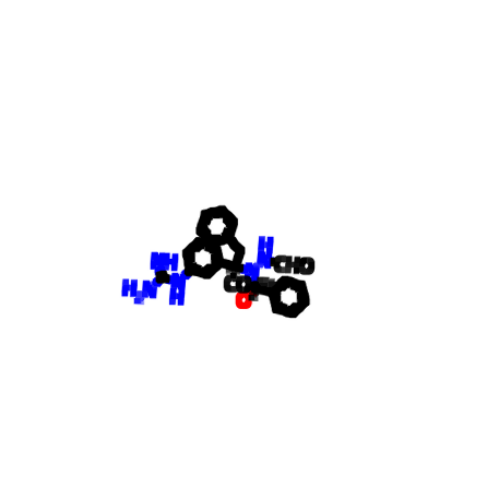 CCOC(=O)[C@@](Cc1ccccc1)(c1cccc(NC(=N)N)c1)N(NC=O)C(=O)c1ccccc1